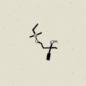 C#CC(C)(O)CCO[Si](C)(C)CC